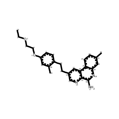 [CH2][CH]OCCOc1ccc(CCc2cnc3c(N)nc4cc(C)ccc4c3c2)c(C)c1